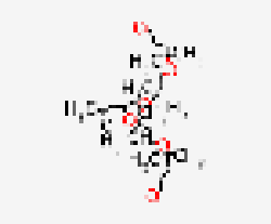 CC(C)CC(COC(C)(C)CCOC(C)(C)CCC=O)OC(C)(C)CCOC(C)(C)CCC=O